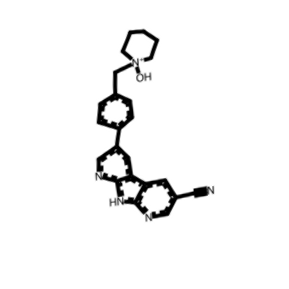 N#Cc1cnc2[nH]c3ncc(-c4ccc(C[N+]5(O)CCCCC5)cc4)cc3c2c1